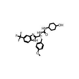 COc1ccc(C[C@@H](NC(=O)NC2CCC(O)CC2)c2nc3cc(C(F)(F)F)ccc3[nH]2)cc1